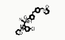 N#CC(NC(=O)c1cccc(Cc2ccc(Cn3ccccc3=O)cc2)c1)c1nn(C2CCCCO2)c2ccc(Cl)cc12